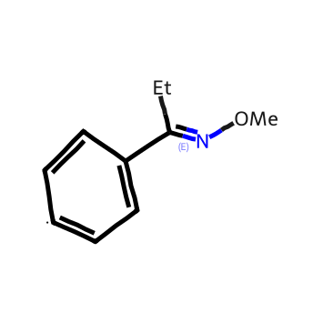 CC/C(=N\OC)c1cc[c]cc1